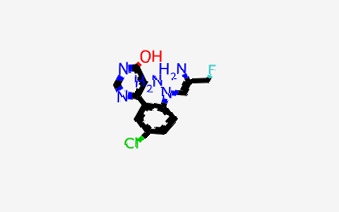 N/C(=C\N(N)c1ccc(Cl)cc1-c1cc(O)ncn1)CF